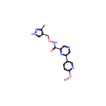 CCOc1ccc(-c2cncc(C(=O)NOCc3c[nH]nc3C)n2)cn1